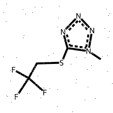 Cn1nnnc1SCC(F)(F)F